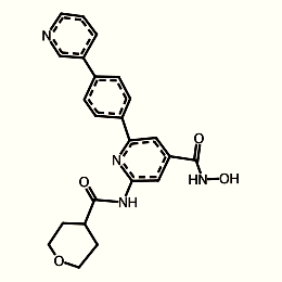 O=C(NO)c1cc(NC(=O)C2CCOCC2)nc(-c2ccc(-c3cccnc3)cc2)c1